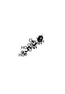 C[C@]12C[C@@H]3C[C@](C)(C1)C[C@@](Nc1nc(Cl)nc4c1ncn4[C@@H]1O[C@H](CCS(=O)(=O)O)C(O)C1O)(C3)C2